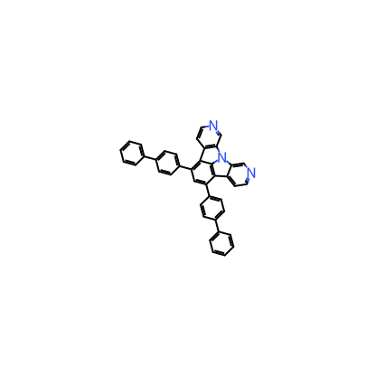 c1ccc(-c2ccc(-c3cc(-c4ccc(-c5ccccc5)cc4)c4c5ccncc5n5c6cnccc6c3c45)cc2)cc1